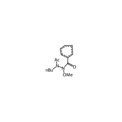 CCCCN(C(C)=O)N(OC)C(=O)c1ccccc1